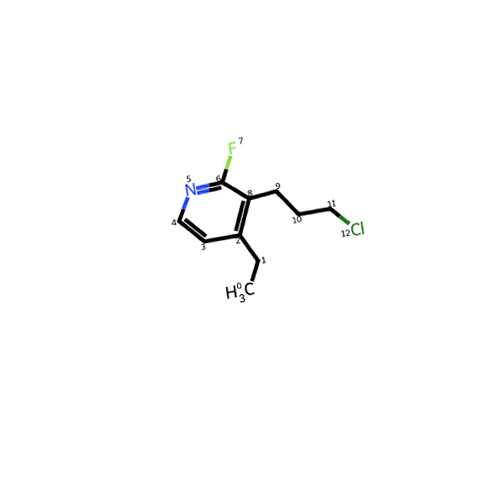 CCc1ccnc(F)c1CCCCl